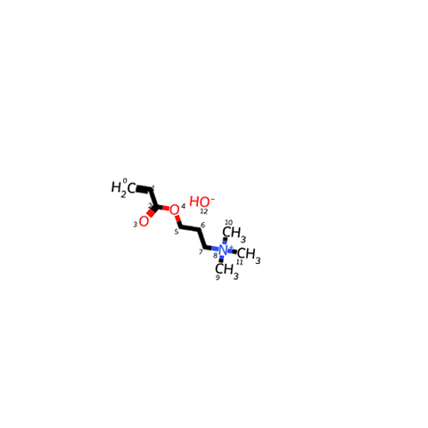 C=CC(=O)OCCC[N+](C)(C)C.[OH-]